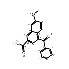 COc1ccc2c(C(=O)c3ccccc3)cc(C(=O)O)cc2c1